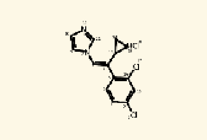 Cl.Clc1ccc(C(=Cn2ccnc2)C2CC2)c(Cl)c1